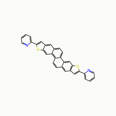 c1ccc(-c2cc3cc4ccc5c6cc7sc(-c8ccccn8)cc7cc6ccc5c4cc3s2)nc1